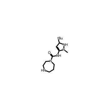 CN1NC(C(C)(C)C)C=C1NC(=O)N1CCCNCC1